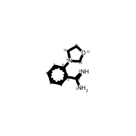 N=C(N)c1ccccc1N1CCOC1